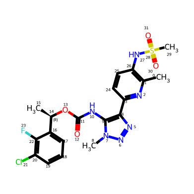 Cc1nc(-c2nnn(C)c2NC(=O)O[C@H](C)c2cccc(Cl)c2F)ccc1NS(C)(=O)=O